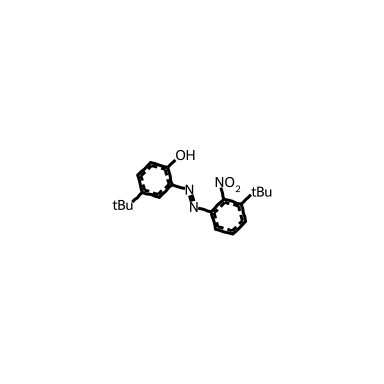 CC(C)(C)c1ccc(O)c(N=Nc2cccc(C(C)(C)C)c2[N+](=O)[O-])c1